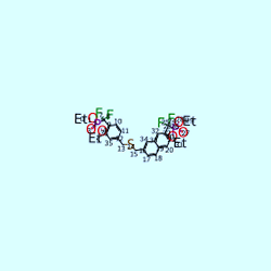 CCOP(=O)(OCC)C(F)(F)c1ccc(CSCc2ccc3ccc(C(F)(F)P(=O)(OCC)OCC)cc3c2)cc1